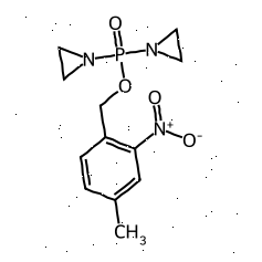 Cc1ccc(COP(=O)(N2CC2)N2CC2)c([N+](=O)[O-])c1